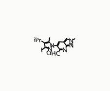 Cc1c(C(C)C)c(I)nn1-c1cc2cn(C)nc2nc1C=O